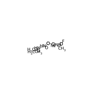 CC(CNc1ccc(-c2cccc(C(=O)NCCCNC(=O)OC(C)(C)C)c2)nn1)c1ccc(F)cc1